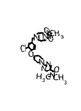 CN(C)C(=O)c1cnc(N2CCC(Oc3ccc(CN4CCN(S(C)(=O)=O)CC4)cc3Cl)CC2)nc1